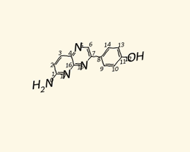 Nc1ccc2ncc(-c3ccc(O)cc3)nc2n1